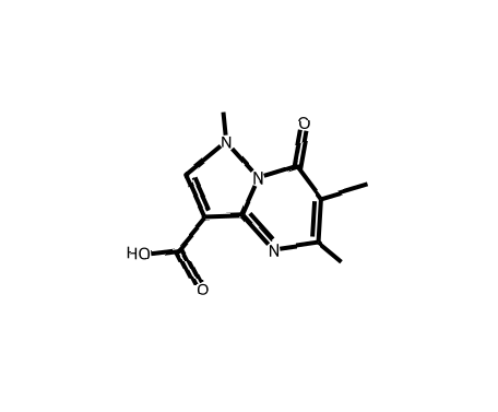 Cc1nc2c(C(=O)O)cn(C)n2c(=O)c1C